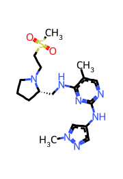 Cc1cnc(Nc2cnn(C)c2)nc1NC[C@@H]1CCCN1CCS(C)(=O)=O